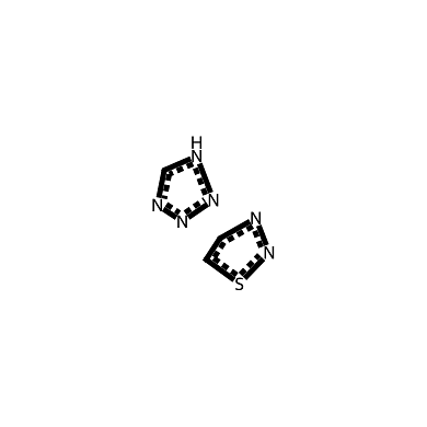 c1csnn1.c1nnn[nH]1